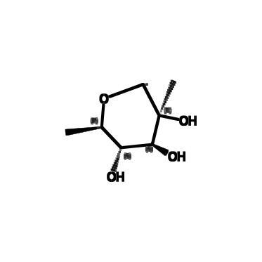 C[C@H]1O[CH][C@@](C)(O)[C@@H](O)[C@@H]1O